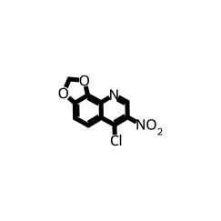 O=[N+]([O-])c1cnc2c3c(ccc2c1Cl)OCO3